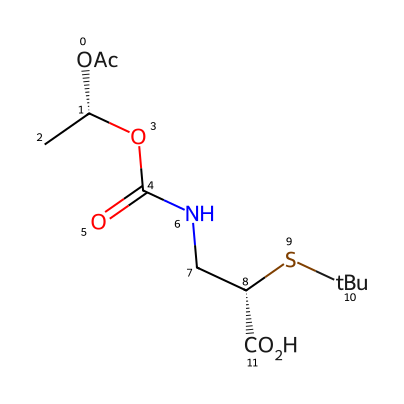 CC(=O)O[C@@H](C)OC(=O)NC[C@H](SC(C)(C)C)C(=O)O